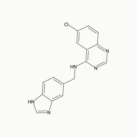 Clc1ccc2ncnc(NCc3ccc4[nH]cnc4c3)c2c1